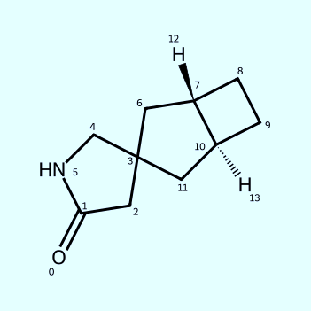 O=C1CC2(CN1)C[C@@H]1CC[C@H]1C2